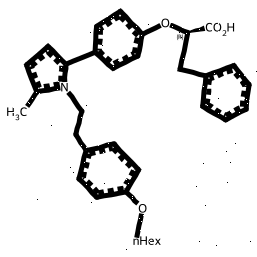 CCCCCCOc1ccc(CCn2c(C)ccc2-c2ccc(O[C@H](Cc3ccccc3)C(=O)O)cc2)cc1